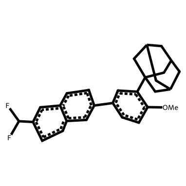 COc1ccc(-c2ccc3cc(C(F)F)ccc3c2)cc1C12CC3CC(CC(C3)C1)C2